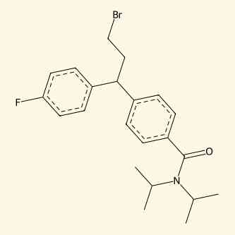 CC(C)N(C(=O)c1ccc(C(CCBr)c2ccc(F)cc2)cc1)C(C)C